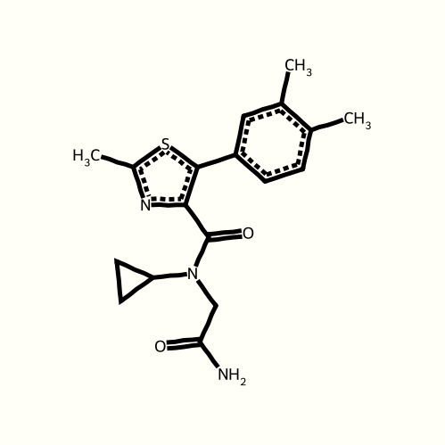 Cc1nc(C(=O)N(CC(N)=O)C2CC2)c(-c2ccc(C)c(C)c2)s1